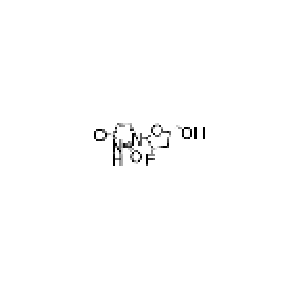 O=c1ccn(C2O[C@H](CO)C[C@@H]2F)c(=O)[nH]1